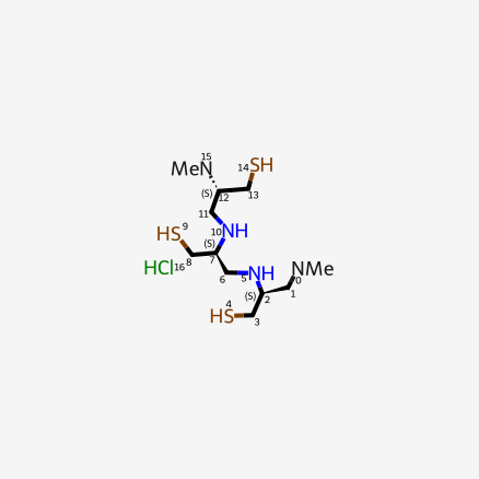 CNC[C@@H](CS)NC[C@@H](CS)NC[C@@H](CS)NC.Cl